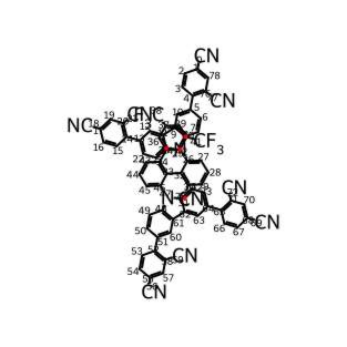 N#Cc1ccc(-c2ccc3c(c2)c2cc(-c4ccc(C#N)cc4C#N)ccc2n3-c2cccc(C#N)c2-c2c(-c3cc(C(F)(F)F)cc(C(F)(F)F)c3)cccc2-n2c3ccc(-c4ccc(C#N)cc4C#N)cc3c3cc(-c4ccc(C#N)cc4C#N)ccc32)c(C#N)c1